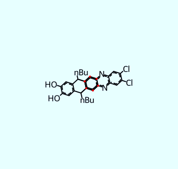 CCCCC12c3ccccc3C(CCCC)(c3cc(O)c(O)cc31)c1cc3nc4cc(Cl)c(Cl)cc4nc3cc12